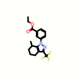 CCOC(=O)c1cccc(-n2nc(C(F)(F)F)c3c2C(C)CCC3)c1